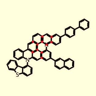 c1ccc(-c2ccc(-c3ccc(N(c4cccc(-c5ccc6ccccc6c5)c4)c4ccccc4-c4cccc(N(c5ccccc5-c5ccc(-c6ccccc6)cc5)c5cccc6sc7ccccc7c56)c4)cc3)cc2)cc1